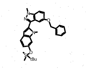 Cn1nc(-c2cc3ccc(O[Si](C)(C)C(C)(C)C)cc3n2C)c2cc(OCc3ccccc3)ccc21